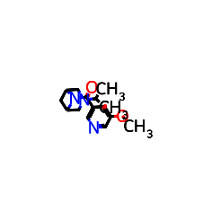 COc1cncc(C(=O)N2C3CC2CN(C(C)C)C3)c1